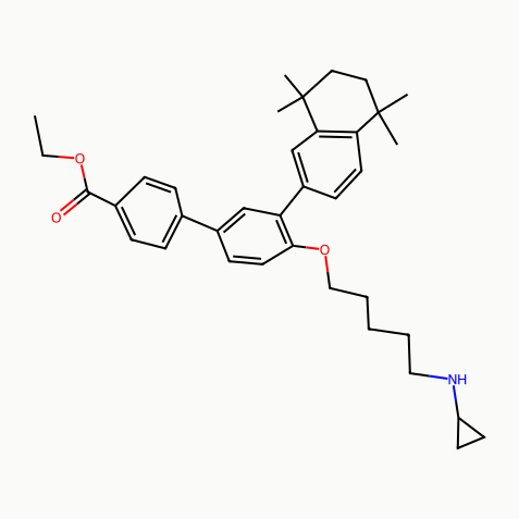 CCOC(=O)c1ccc(-c2ccc(OCCCCCNC3CC3)c(-c3ccc4c(c3)C(C)(C)CCC4(C)C)c2)cc1